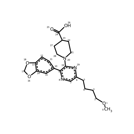 COCCCCc1cnc(-c2ccc3c(c2)OCO3)c(N2CCC(C(=O)O)CC2)n1